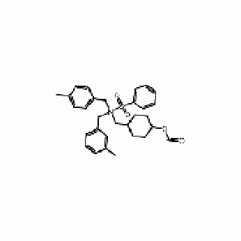 Cc1ccc(C[N+](Cc2cccc(C)c2)(CC2CCC(O[C]=O)CC2)S(=O)(=O)c2ccccc2)cc1